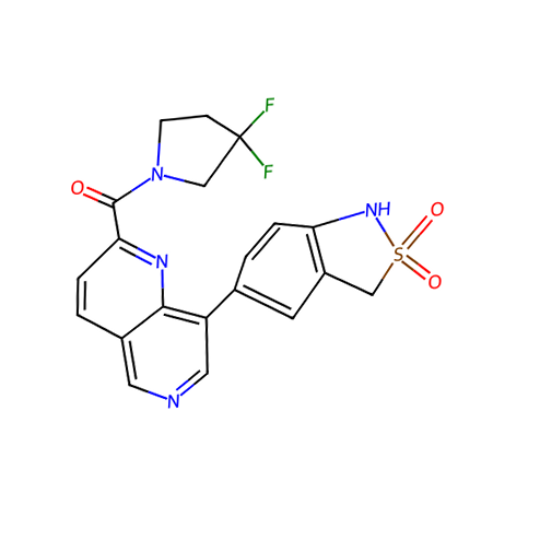 O=C(c1ccc2cncc(-c3ccc4c(c3)CS(=O)(=O)N4)c2n1)N1CCC(F)(F)C1